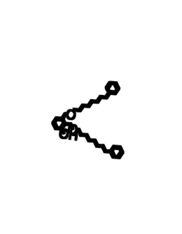 Oc1cccc(COCCCCCCCCc2ccccc2)c1COCCCCCCCCc1ccccc1